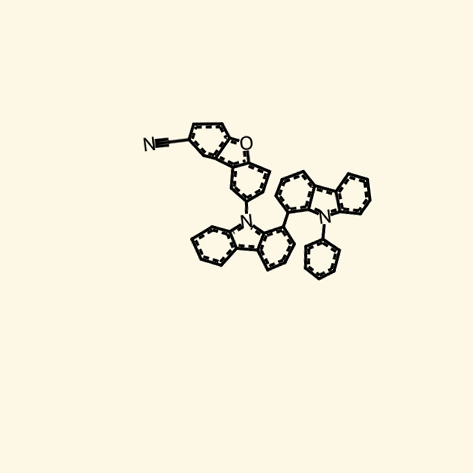 N#Cc1ccc2oc3ccc(-n4c5ccccc5c5cccc(-c6cccc7c8ccccc8n(-c8ccccc8)c67)c54)cc3c2c1